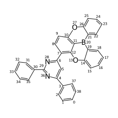 c1ccc(-c2cc(-c3ccc4c5c3Oc3ccccc3B5c3ccccc3O4)nc(-c3ccccc3)n2)cc1